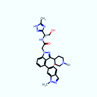 CC(=O)N1CCC(c2nn(CC(=O)N[C@H](CO)c3n[nH]c(C)n3)c3cccc(-c4cc5c(cnn5C)cc4F)c23)CC1